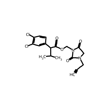 C#CCN1CC(=O)N(COC(=O)C(c2ccc(Cl)c(Cl)c2)C(C)C)C1=O